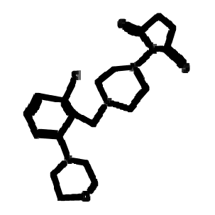 O=C1CCC(=O)N1N1CCN(Cc2c(Cl)cccc2N2CCOCC2)CC1